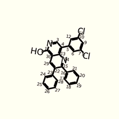 Oc1ncc(-c2cc(Cl)cc(Cl)c2)c2nc(-c3cc[c]cc3)c(-c3ccccc3)cc12